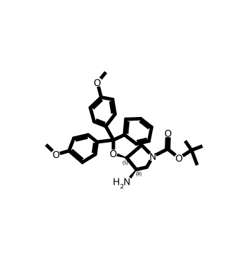 COc1ccc(C(O[C@H]2CN(C(=O)OC(C)(C)C)C[C@H]2N)(c2ccccc2)c2ccc(OC)cc2)cc1